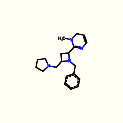 CN1CC=CN=C1C1CC(CN2CCCC2)N1Cc1ccccc1